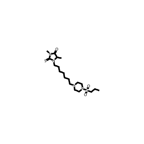 CCCS(=O)(=O)N1CCN(CCCCCCCN2C(=S)N(C)C(=O)C2C)CC1